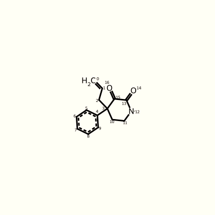 C=CCC1(c2ccccc2)CC[N]C(=O)C1=O